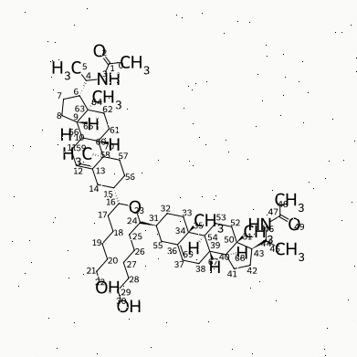 CC(=O)NC(C)[C@H]1CC[C@H]2[C@@H]3CC=C4C[C@@H](C(CCCCCO)OC(CCCCCO)[C@H]5CC[C@@]6(C)C(=CC[C@H]7[C@@H]8CC[C@H](C(C)NC(C)=O)[C@@]8(C)CC[C@@H]76)C5)CC[C@]4(C)[C@H]3CC[C@]12C